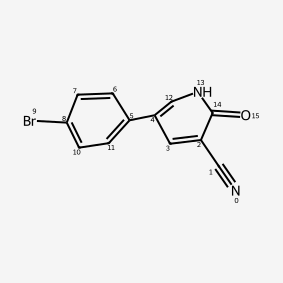 N#Cc1cc(-c2ccc(Br)cc2)c[nH]c1=O